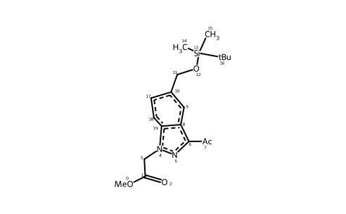 COC(=O)Cn1nc(C(C)=O)c2cc(CO[Si](C)(C)C(C)(C)C)ccc21